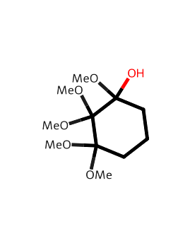 COC1(O)CCCC(OC)(OC)C1(OC)OC